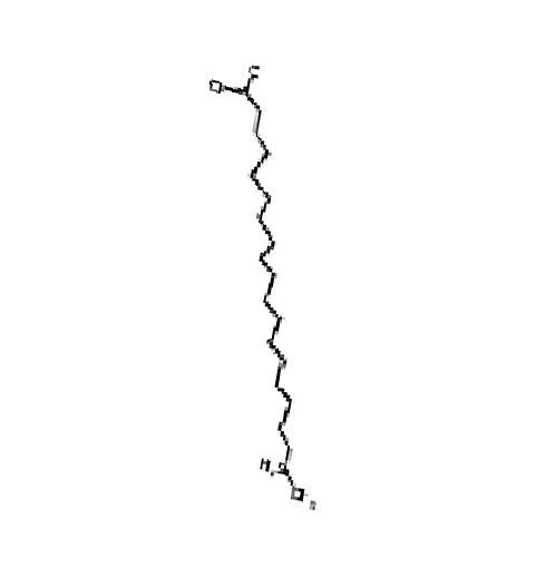 C[SiH2]CCCCCCCCCCCCCCCCCC(Cl)Cl